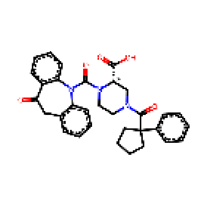 O=C1Cc2ccccc2N(C(=O)N2CCN(C(=O)C3(c4ccccc4)CCCC3)C[C@H]2C(=O)O)c2ccccc21